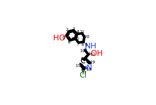 Oc1ccc2c(c1)C[C@@H](NC[C@H](O)c1ccc(Cl)nc1)CC2